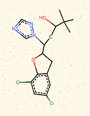 CC(C)(C)C(O)CC(C1Cc2cc(Cl)cc(Cl)c2O1)n1cncn1